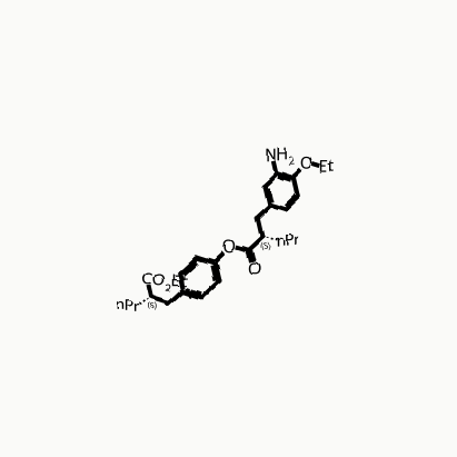 CCC[C@@H](Cc1ccc(OC(=O)[C@@H](CCC)Cc2ccc(OCC)c(N)c2)cc1)C(=O)OCC